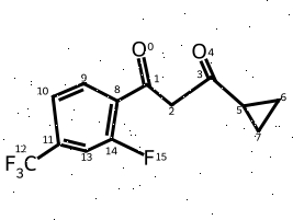 O=C(CC(=O)C1CC1)c1ccc(C(F)(F)F)cc1F